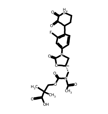 CC(=O)N(C[C@H]1CN(c2ccc(C3CC[SH4]C(=O)C3=O)c(F)c2)C(=O)O1)C(=O)OCC(C)(C)C(=O)O